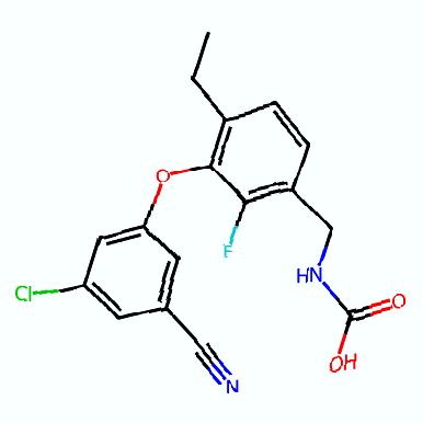 CCc1ccc(CNC(=O)O)c(F)c1Oc1cc(Cl)cc(C#N)c1